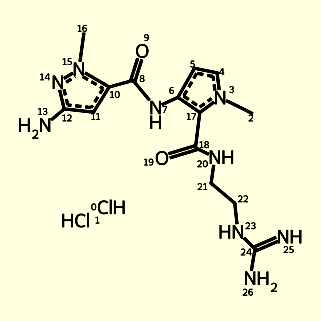 Cl.Cl.Cn1ccc(NC(=O)c2cc(N)nn2C)c1C(=O)NCCNC(=N)N